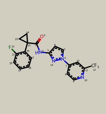 O=C(Nc1ccn(-c2ccnc(C(F)(F)F)c2)n1)C1(c2ccccc2F)CC1